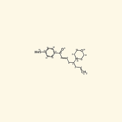 C=CCC(CC=CC(=O)c1ccc(SC)cc1)N1CCOCC1